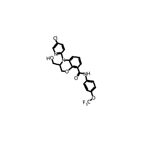 O=C(Nc1ccc(OC(F)(F)F)cc1)c1cccc2c1OCC(CO)N2c1ccc(Cl)cn1